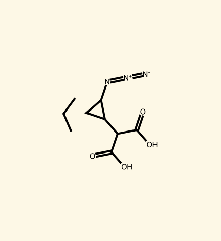 CCC.[N-]=[N+]=NC1CC1C(C(=O)O)C(=O)O